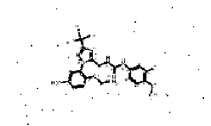 CCOc1ccc(C)cc1-n1nc(C(F)(F)F)cc1CNC(=O)Nc1ccc(CO)c(F)c1